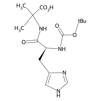 CC(C)(C)OC(=O)N[C@@H](Cc1c[nH]cn1)C(=O)NC(C)(C)C(=O)O